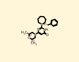 C[C@H]1CN(c2cc(=O)[nH]c(N3CCCCC[C@@H]3Cc3ccccc3)n2)C[C@H](C)O1